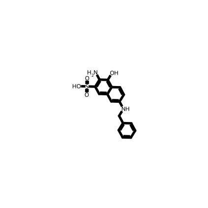 Nc1c(S(=O)(=O)O)cc2cc(NCc3ccccc3)ccc2c1O